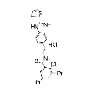 CC(C)c1cc(C(=O)NCCc2ccc(NC(=N)c3cccs3)cc2)c(O)c(C(C)C)c1.Cl